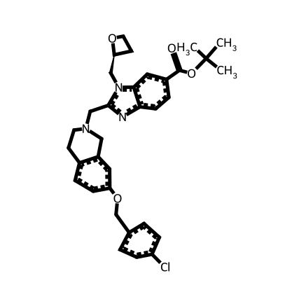 CC(C)(C)OC(=O)c1ccc2nc(CN3CCc4ccc(OCc5ccc(Cl)cc5)cc4C3)n(C[C@@H]3CCO3)c2c1